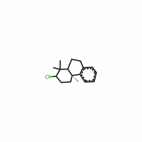 CC1(C)C(Cl)CC[C@]2(C)c3ccccc3CCC12